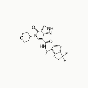 CC(NC(=O)c1cn(C2CCOCC2)c(=O)c2c[nH]nc12)c1cccc2c1CCC2(F)F